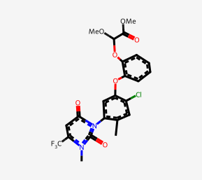 COC(=O)C(OC)Oc1ccccc1Oc1cc(-n2c(=O)cc(C(F)(F)F)n(C)c2=O)c(C)cc1Cl